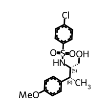 COc1ccc([C@@H](C)[C@@H](CO)NS(=O)(=O)c2ccc(Cl)cc2)cc1